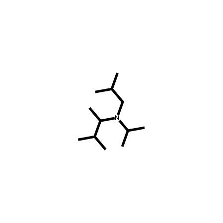 CC(C)CN(C(C)C)C(C)C(C)C